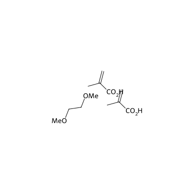 C=C(C)C(=O)O.C=C(C)C(=O)O.COCCOC